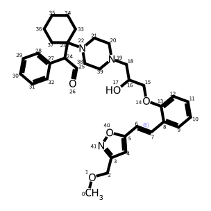 COCc1cc(/C=C/c2ccccc2OCC(O)CN2CCN(C3(C(C=O)c4ccccc4)CCCCC3)CC2)on1